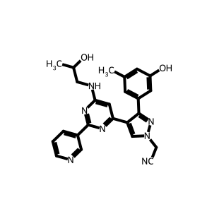 Cc1cc(O)cc(-c2nn(CC#N)cc2-c2cc(NCC(C)O)nc(-c3cccnc3)n2)c1